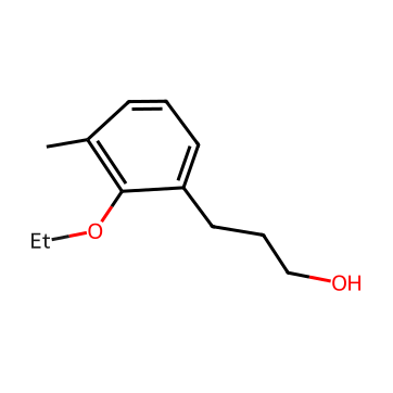 CCOc1c(C)cccc1CCCO